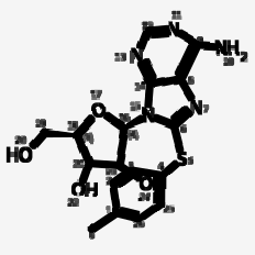 Cc1ccc(Sc2nc3c(N)ncnc3n2[C@@H]2O[C@H](CO)C(O)C2O)cc1